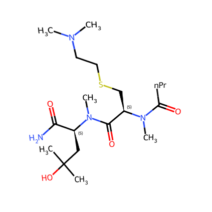 CCCC(=O)N(C)[C@H](CSCCN(C)C)C(=O)N(C)[C@@H](CC(C)(C)O)C(N)=O